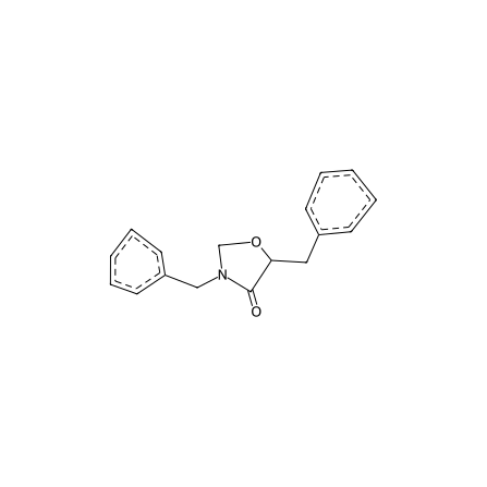 O=C1C(Cc2ccccc2)OCN1Cc1ccccc1